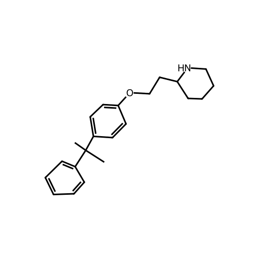 CC(C)(c1ccccc1)c1ccc(OCCC2CCCCN2)cc1